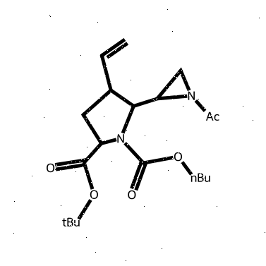 C=CC1CC(C(=O)OC(C)(C)C)N(C(=O)OCCCC)C1C1CN1C(C)=O